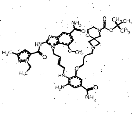 CCn1nc(C)cc1C(=O)Nc1nc2cc(C(N)=O)cc(OC)c2n1C/C=C/CNc1c(N)cc(C(N)=O)cc1OCCCN1CC2(C1)CN(C(=O)OC(C)(C)C)CCO2